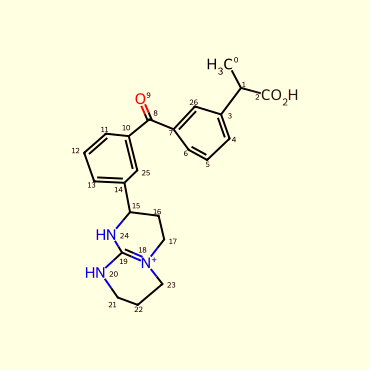 CC(C(=O)O)c1cccc(C(=O)c2cccc(C3CC[N+]4=C(NCCC4)N3)c2)c1